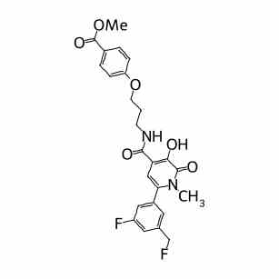 COC(=O)c1ccc(OCCCNC(=O)c2cc(-c3cc(F)cc(CF)c3)n(C)c(=O)c2O)cc1